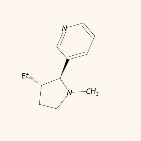 CC[C@H]1CCN(C)[C@@H]1c1cccnc1